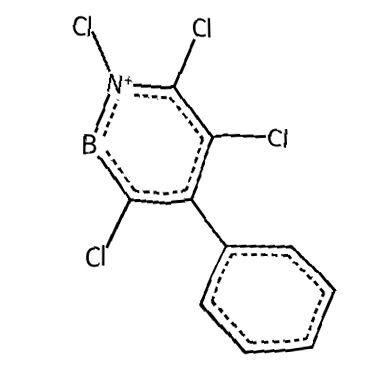 Clc1b[n+](Cl)c(Cl)c(Cl)c1-c1ccccc1